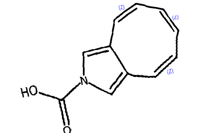 O=C(O)n1cc2c(c1)\C=C/C=C\C=C/2